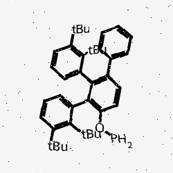 CC(C)(C)c1cccc(-c2c(OP)ccc(-c3ccccc3)c2-c2cccc(C(C)(C)C)c2C(C)(C)C)c1C(C)(C)C